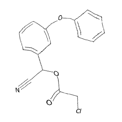 N#CC(OC(=O)CCl)c1cccc(Oc2ccccc2)c1